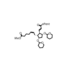 CCCCCC(=O)/C=C/[C@@H]1[C@@H](C/C=C\CCCC(=O)OC)[C@@H](OC2CCCCO2)C[C@H]1OC1CCCCO1